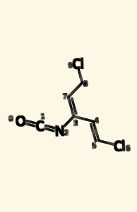 O=C=NC(/C=C/Cl)=C/CCl